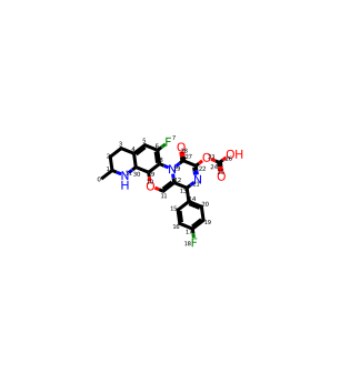 CC1CCC2=CC(F)=C3C(OC=C4C(c5ccc(F)cc5)N=C(OC(=O)O)C(=O)N43)C2N1